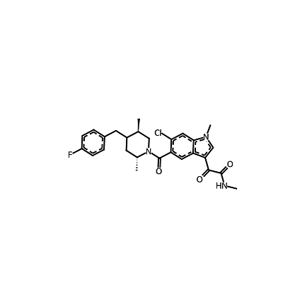 CNC(=O)C(=O)c1cn(C)c2cc(Cl)c(C(=O)N3C[C@H](C)C(Cc4ccc(F)cc4)C[C@H]3C)cc12